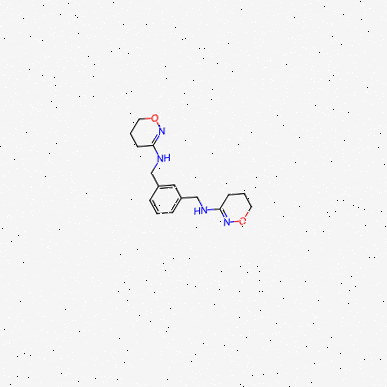 c1cc(CNC2=NOCCC2)cc(CNC2=NOCCC2)c1